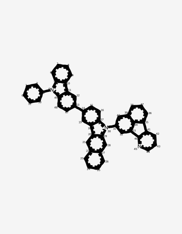 c1ccc(-n2c3ccccc3c3cc(-c4ccc5c(c4)c4cc6ccccc6cc4n5-c4cc5c6c(cccc6c4)-c4cccnc4-5)ccc32)cc1